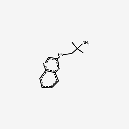 CC(C)(N)CNc1cnc2ccccc2n1